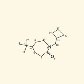 CC(C)(C)C1CCC(=O)N(CC2CCC2)CC1